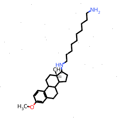 COc1ccc2c(c1)CCC1C2CC[C@]2(C)C(NCCCCCCCCCCN)CCC12